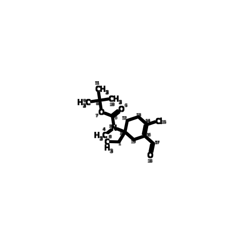 CCC1(N(C)C(=O)OC(C)(C)C)CCC(Cl)=C(C=O)C1